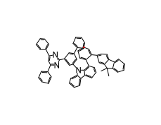 CC1(C)c2ccccc2-c2ccc(-c3ccccc3-c3cccc4c5ccccc5n(-c5cc(-c6ccccc6)cc(-c6nc(-c7ccccc7)cc(-c7ccccc7)n6)c5)c34)cc21